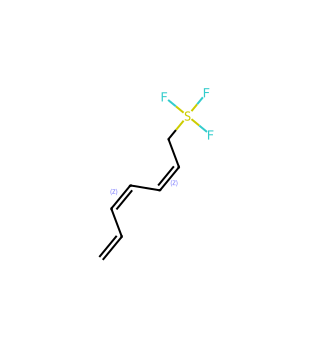 C=C/C=C\C=C/CS(F)(F)F